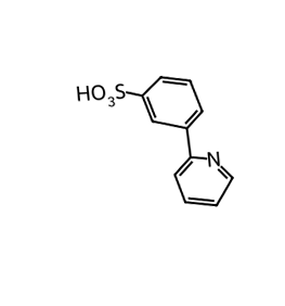 O=S(=O)(O)c1cccc(-c2ccccn2)c1